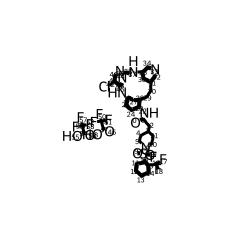 O=C(CC1CCN(S(=O)(=O)c2ccccc2C(F)(F)F)CC1)Nc1ccc2cc1CCc1cncc(c1)Nc1ncc(Cl)c(n1)N2.O=C(O)C(F)(F)F.O=C(O)C(F)(F)F